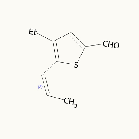 C/C=C\c1sc(C=O)cc1CC